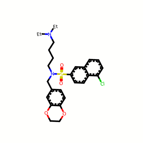 CCN(CC)CCCCN(Cc1ccc2c(c1)OCCO2)S(=O)(=O)c1ccc2c(Cl)cccc2c1